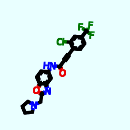 O=C(C#Cc1ccc(C(F)(F)F)cc1Cl)Nc1ccc2oc(CN3CCCC3)nc2c1